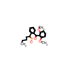 CCCCC(P=O)c1ccccc1C(=O)c1c(OC)cccc1OC